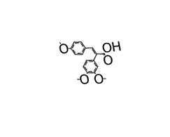 COc1ccc(/C=C(/C(=O)O)c2ccc(OC)c(OC)c2)cc1